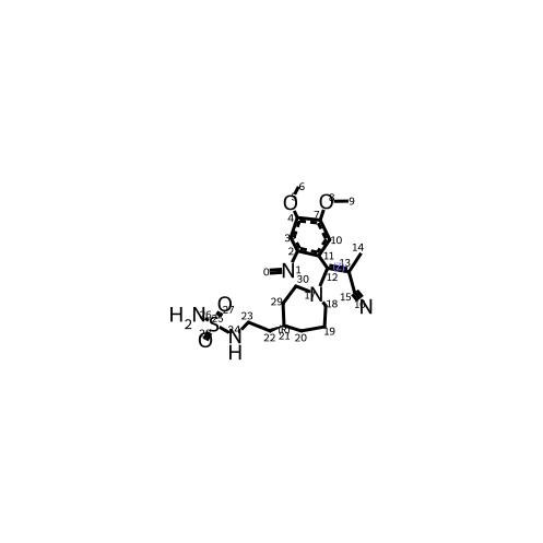 C=Nc1cc(OC)c(OC)cc1/C(=C(\C)C#N)N1CCC[C@@H](CCNS(N)(=O)=O)CC1